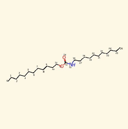 CCCCCCCCCCCCOC(=O)NCCCCCCCCCCC